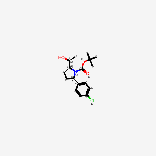 C[C@H](O)[C@H]1CC[C@@H](c2ccc(Cl)cc2)N1C(=O)OC(C)(C)C